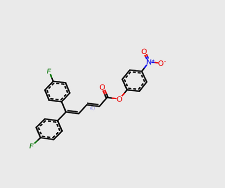 O=C(/C=C/C=C(c1ccc(F)cc1)c1ccc(F)cc1)Oc1ccc([N+](=O)[O-])cc1